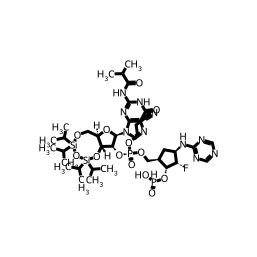 CC(C)C(=O)Nc1nc2c(ncn2[C@@H]2O[C@@H]3CO[Si](C(C)C)(C(C)C)O[Si](C(C)C)(C(C)C)O[C@H]3[C@H]2O[P@](=O)(OCCC#N)OC[C@H]2C[C@@H](Nc3ncncn3)[C@H](F)[C@@H]2O[PH](=O)O)c(=O)[nH]1